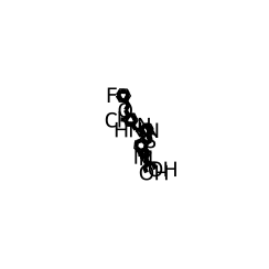 OCC(CO)n1cc2c(n1)CCc1c-2sc2ncnc(Nc3ccc(OCc4cccc(F)c4)c(Cl)c3)c12